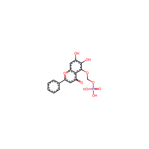 O=c1cc(-c2ccccc2)oc2cc(O)c(O)c(OCOP(=O)(O)O)c12